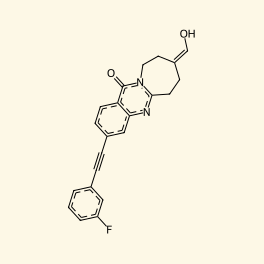 O=c1c2ccc(C#Cc3cccc(F)c3)cc2nc2n1CC/C(=C\O)CC2